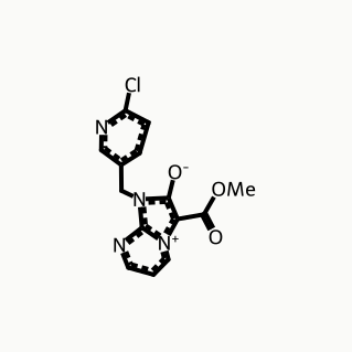 COC(=O)c1c([O-])n(Cc2ccc(Cl)nc2)c2nccc[n+]12